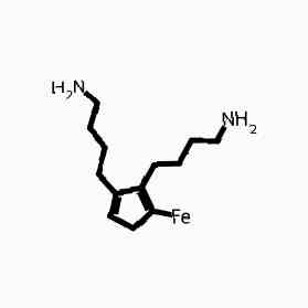 NCCCCC1=CC[C]([Fe])=C1CCCCN